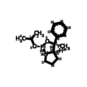 CC(C)O[P@]1O[C@@](C)(c2ccccc2)[C@H]2CCCN21